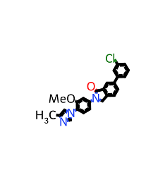 COc1cc(N2Cc3ccc(-c4cccc(Cl)c4)cc3C2=O)ccc1-n1cnc(C)c1